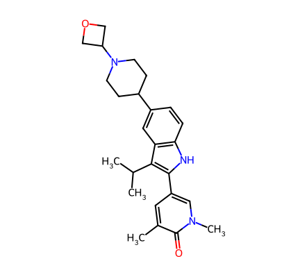 Cc1cc(-c2[nH]c3ccc(C4CCN(C5COC5)CC4)cc3c2C(C)C)cn(C)c1=O